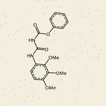 COc1ccc(NC(=O)NC(=O)Oc2ccccc2)c(OC)c1OC